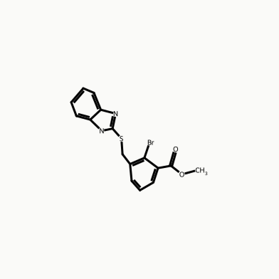 COC(=O)c1cccc(CSC2=Nc3ccccc3[N]2)c1Br